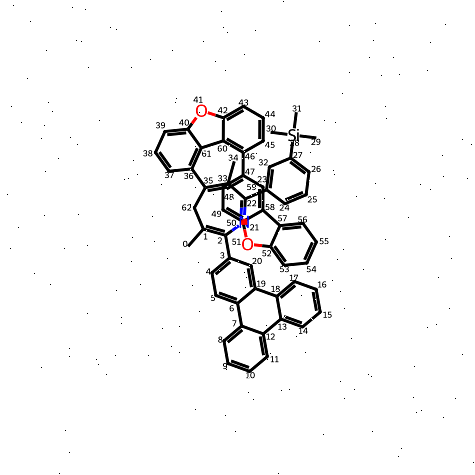 CC1=C(c2ccc3c4ccccc4c4ccccc4c3c2)N=C(c2cccc([Si](C)(C)C)c2)C(C)=C(c2cccc3oc4cccc(-c5ccc6oc7ccccc7c6c5)c4c23)C1